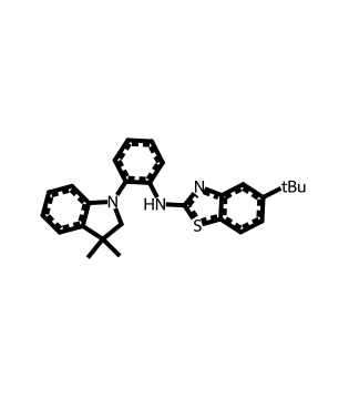 CC(C)(C)c1ccc2sc(Nc3ccccc3N3CC(C)(C)c4ccccc43)nc2c1